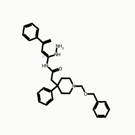 C=C(/C=C(\NN)NC(=O)CC1(c2ccccc2)CCN(COCc2ccccc2)CC1)c1ccccc1